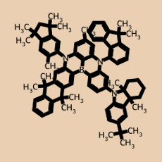 Cc1cc2c3c(c1)N(c1cccc4c1-c1ccccc1C4(C)C)c1cc(N4c5ccc(C(C)(C)C)cc5C5(C)CCCCC45C)ccc1B3c1cc3c(cc1N2c1cc2c(cc1C)C(C)(C)CC2(C)C)C(C)(C)c1ccccc1C3(C)C